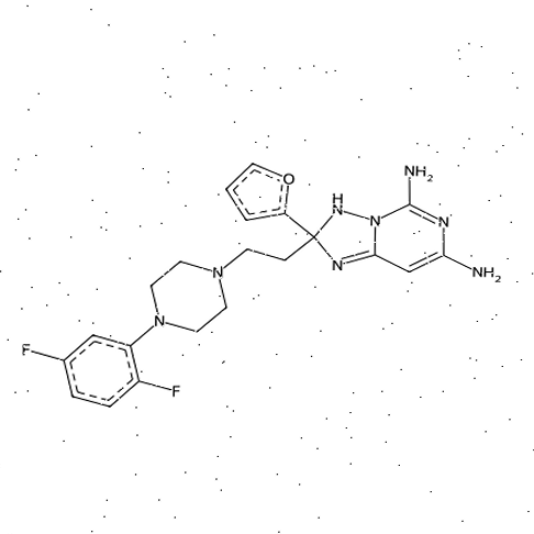 NC1=CC2=NC(CCN3CCN(c4cc(F)ccc4F)CC3)(c3ccco3)NN2C(N)=N1